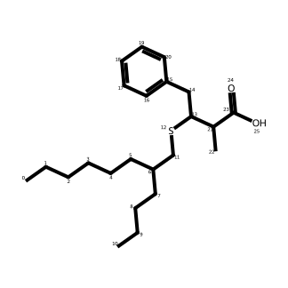 CCCCCCC(CCCC)CSC(Cc1ccccc1)C(C)C(=O)O